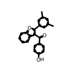 Cc1cc(C)cc(-c2oc3ccccc3c2C(=O)c2ccc(O)cc2)c1